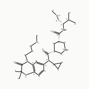 COCCCN1C(=O)C(C)(C)Oc2ccc(N(C(=O)[C@H]3CNC[C@@H](C(=O)N[C@H](COC)C(C)C)C3)C3CC3)cc21